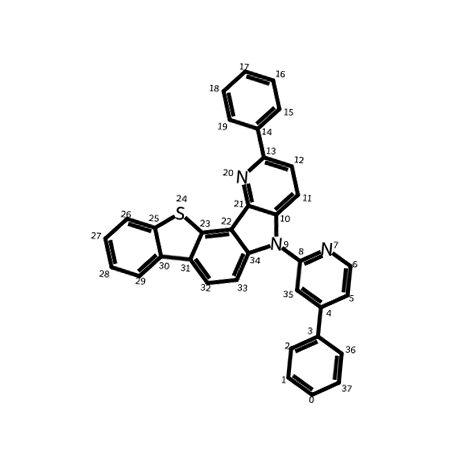 c1ccc(-c2ccnc(-n3c4ccc(-c5ccccc5)nc4c4c5sc6ccccc6c5ccc43)c2)cc1